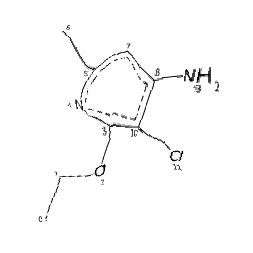 CCOc1nc(C)cc(N)c1Cl